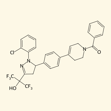 O=C(c1ccccc1)N1CC=C(c2ccc(C3CC(C(O)(C(F)(F)F)C(F)(F)F)=NN3c3ccccc3Cl)cc2)CC1